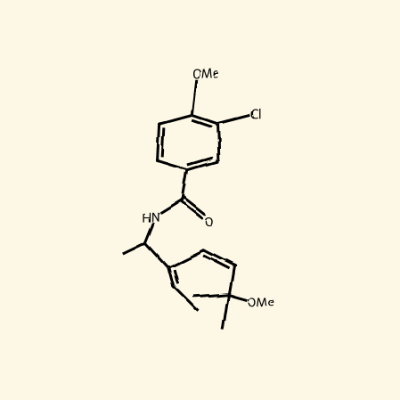 C/C=C(\C=C/C(C)(C)OC)C(C)NC(=O)c1ccc(OC)c(Cl)c1